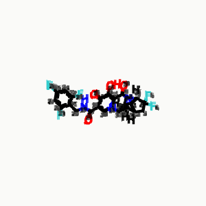 C[C@H]1[C@H]2CC(F)(F)[C@@H]1N1C(=O)c3c(O)c(=O)c(C(=O)NCc4c(F)cc(F)cc4F)cn3C[C@@H]21